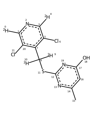 [2H]c1nc([2H])c(Cl)c(C([2H])([2H])Sc2nc(C)cc(O)n2)c1Cl